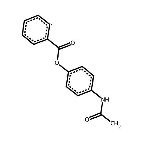 CC(=O)Nc1ccc(OC(=O)c2[c]cccc2)cc1